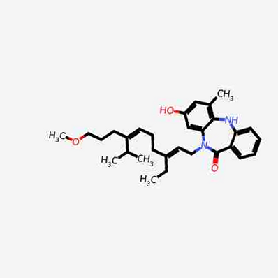 CC/C(=C\CN1C(=O)c2ccccc2Nc2c(C)cc(O)cc21)CC/C=C(/CCCOC)C(C)C